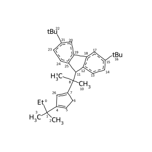 CCC(C)(C)C1=CCC(C(C)(C)C2c3ccc(C(C)(C)C)cc3-c3cc(C(C)(C)C)ccc32)=C1